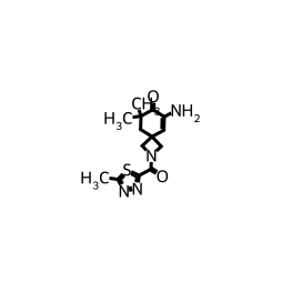 Cc1nnc(C(=O)N2CC3(C=C(N)C(=O)C(C)(C)C3)C2)s1